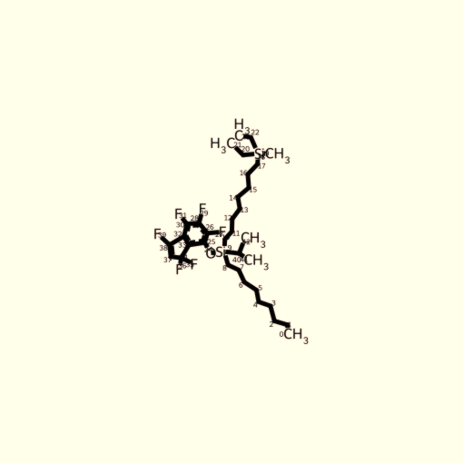 CCCCCCCCC[Si](CCCCCCCC[Si](C)(CC)CC)(Oc1c(F)c(F)c(F)c2c1C(F)(F)[C]=C2F)C(C)C